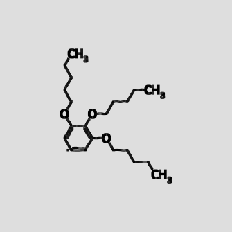 CCCCCOc1c[c]cc(OCCCCC)c1OCCCCC